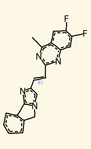 Cc1nc(/C=C/c2cn3c(n2)-c2ccccc2C3)nc2cc(F)c(F)cc12